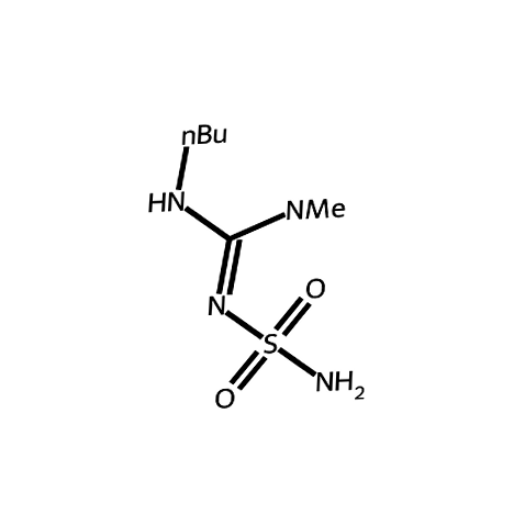 CCCCN/C(=N/S(N)(=O)=O)NC